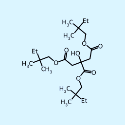 CCC(C)(C)COC(=O)CC(O)(CC(=O)OCC(C)(C)CC)C(=O)OCC(C)(C)CC